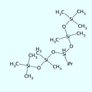 CC(C)[SiH](O[Si](C)(C)O[Si](C)(C)C)O[Si](C)(C)O[Si](C)(C)C